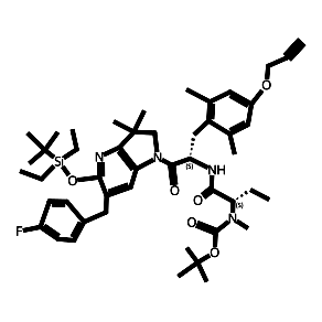 C#CCOc1cc(C)c(C[C@H](NC(=O)[C@H](CC)N(C)C(=O)OC(C)(C)C)C(=O)N2CC(C)(C)c3nc(O[Si](CC)(CC)C(C)(C)C)c(Cc4ccc(F)cc4)cc32)c(C)c1